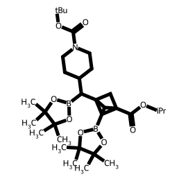 CC(C)OC(=O)C12CC(C(B3OC(C)(C)C(C)(C)O3)C3CCN(C(=O)OC(C)(C)C)CC3)(C1)C2B1OC(C)(C)C(C)(C)O1